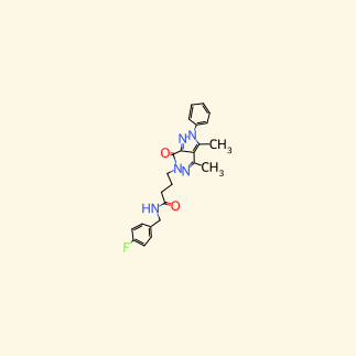 Cc1nn(CCCC(=O)NCc2ccc(F)cc2)c(=O)c2nn(-c3ccccc3)c(C)c12